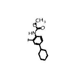 COC(=O)Nc1ccc(C2CCCCC2)cc1I